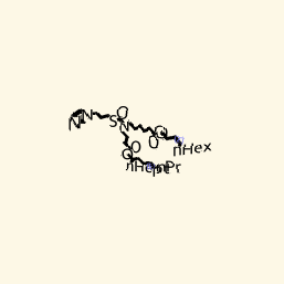 CCC/C=C/CCC(CCCCCCC)OC(=O)CCCN(CCCCCC(=O)OC/C=C\CCCCCC)C(=O)SCCCn1ccnc1